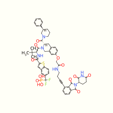 CC(C)(C)C(NC(=O)c1cc2cc(C(F)(F)P(=O)(O)O)ccc2s1)C(=O)N1Cc2cc(OCC(=O)NCCC#Cc3cccc4c3C(=O)N(C3CCC(=O)NC3=O)C4=O)ccc2C[C@H]1C(=O)N1CCC[C@H](c2ccccc2)C1